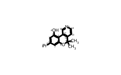 CC(C)c1cc(O)c2c(c1)OC(C)(C)c1ccncc1-2